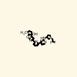 CN1CCC(O)(c2cc(-c3cccc(-c4ccnc(NC5CCN(CC(F)F)C5)n4)n3)no2)C1=O